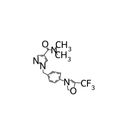 CN(C)C(=O)c1cnn(Cc2ccc(N3C=C(C(F)(F)F)OC3)cc2)c1